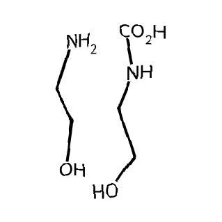 NCCO.O=C(O)NCCO